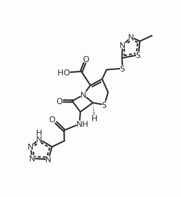 Cc1nnc(SCC2=C(C(=O)O)N3C(=O)C(NC(=O)Cc4nnn[nH]4)[C@@H]3SC2)s1